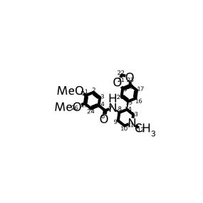 COc1ccc(C(=O)N[C@@H]2CCN(C)C[C@@H]2c2ccc3c(c2)OCO3)cc1OC